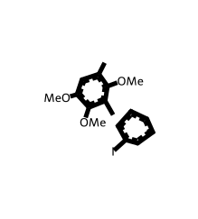 COc1cc(C)c(OC)c(C)c1OC.Ic1ccccc1